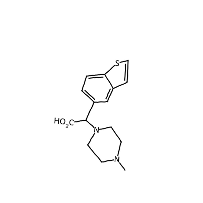 CN1CCN(C(C(=O)O)c2ccc3sccc3c2)CC1